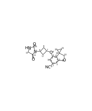 N#Cc1cc2c(c(OC3CC(N4C(=O)CNC4=O)C3)c1)C1(CC1)CO2